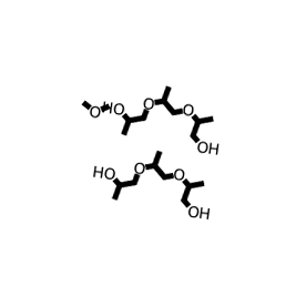 CC(O)COC(C)COC(C)CO.CC(O)COC(C)COC(C)CO.COC